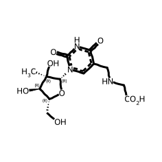 C[C@@]1(O)[C@H](O)[C@@H](CO)O[C@H]1n1cc(CNCC(=O)O)c(=O)[nH]c1=O